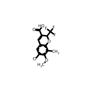 COc1c(Cl)cc2c(c1C)OC(C(F)(F)F)C(C(=O)O)=C2